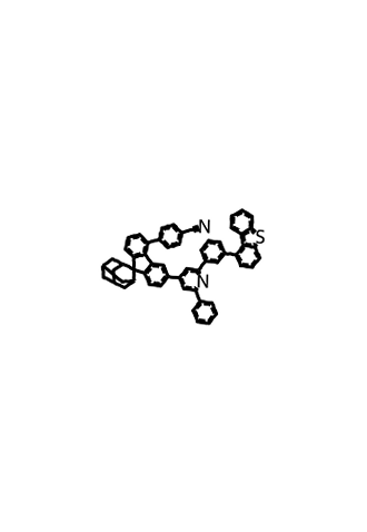 N#Cc1ccc(-c2cccc3c2-c2cc(-c4cc(-c5ccccc5)nc(-c5cccc(-c6cccc7sc8ccccc8c67)c5)c4)ccc2C32C3CC4CC(C3)CC2C4)cc1